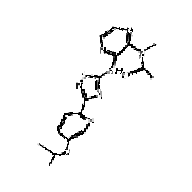 CC(=O)N(C)c1nccnc1Nc1nc(-c2ccc(OC(C)C)cn2)ns1